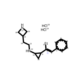 CC/C(=C\c1ccccc1)C1CC1NCCC1CNC1.Cl.Cl